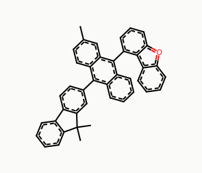 Cc1ccc2c(-c3ccc4c(c3)C(C)(C)c3ccccc3-4)c3ccccc3c(-c3cccc4oc5ccccc5c34)c2c1